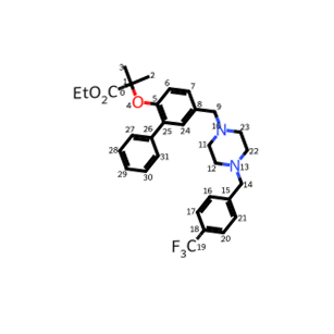 CCOC(=O)C(C)(C)Oc1ccc(CN2CCN(Cc3ccc(C(F)(F)F)cc3)CC2)cc1-c1ccccc1